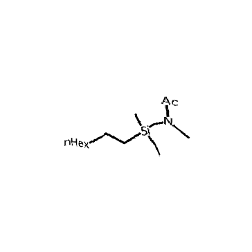 CCCCCCCC[Si](C)(C)N(C)C(C)=O